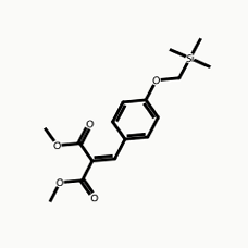 COC(=O)C(=Cc1ccc(OC[Si](C)(C)C)cc1)C(=O)OC